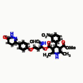 COC(=O)C1=C(C)NC(C)=C(C(=O)OC(C=COc2ccc(C3=NNC(=O)CC3)cc2)NC=O)C1c1cccc([N+](=O)[O-])c1